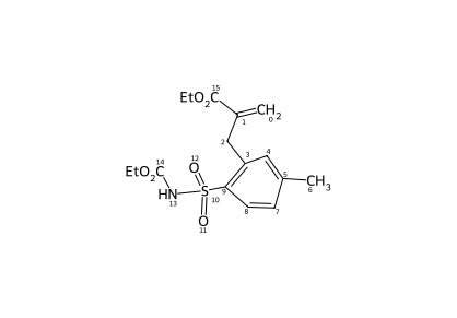 C=C(Cc1cc(C)ccc1S(=O)(=O)NC(=O)OCC)C(=O)OCC